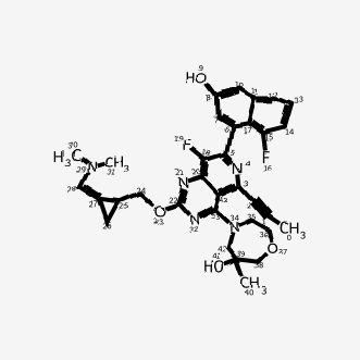 CC#Cc1nc(-c2cc(O)cc3cccc(F)c23)c(F)c2nc(OCC3CC3=CN(C)C)nc(N3CCOCC(C)(O)C3)c12